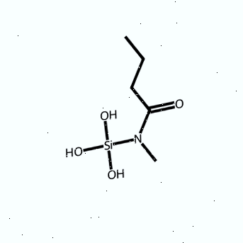 CCCC(=O)N(C)[Si](O)(O)O